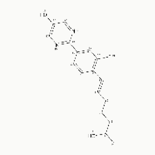 CC(O)CCCC=Cc1ccc(-c2ncc(O)cn2)cc1F